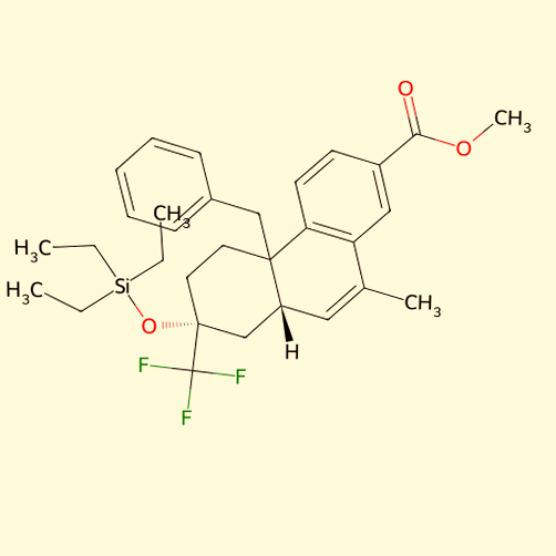 CC[Si](CC)(CC)O[C@]1(C(F)(F)F)CCC2(Cc3ccccc3)c3ccc(C(=O)OC)cc3C(C)=C[C@@H]2C1